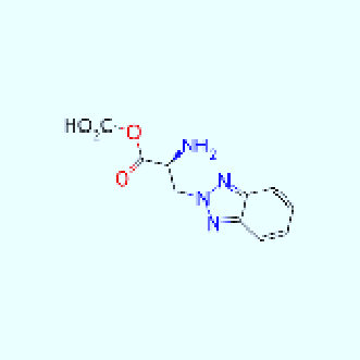 N[C@@H](Cn1nc2ccccc2n1)C(=O)OC(=O)O